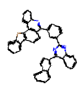 c1cc(-c2nc(-c3ccc4ccccc4c3)c3ccccc3n2)cc(-c2nc3ccccc3c3c2ccc2c4ccccc4sc23)c1